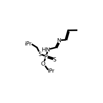 CC=CN=CNP(=S)(OC(C)C)SCC(C)C